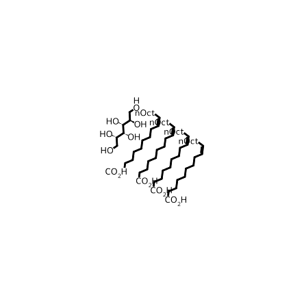 CCCCCCCC/C=C\CCCCCCCC(=O)O.CCCCCCCC/C=C\CCCCCCCC(=O)O.CCCCCCCC/C=C\CCCCCCCC(=O)O.CCCCCCCC/C=C\CCCCCCCC(=O)O.OC[C@@H](O)[C@@H](O)[C@H](O)[C@@H](O)CO